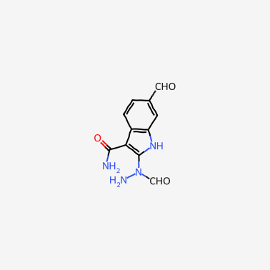 NC(=O)c1c(N(N)C=O)[nH]c2cc(C=O)ccc12